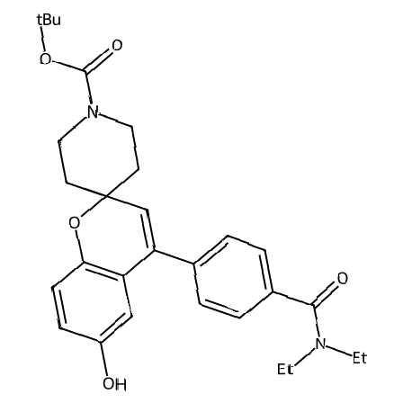 CCN(CC)C(=O)c1ccc(C2=CC3(CCN(C(=O)OC(C)(C)C)CC3)Oc3ccc(O)cc32)cc1